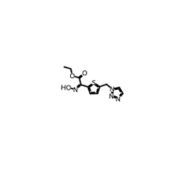 CCOC(=O)/C(=N\O)c1ccc(Cn2ccnn2)s1